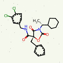 C[C@H](C1CCCCC1)N1C(=O)O[C@](Cc2ccccc2)(C(=O)NCc2ccc(Cl)c(Cl)c2)C1=O